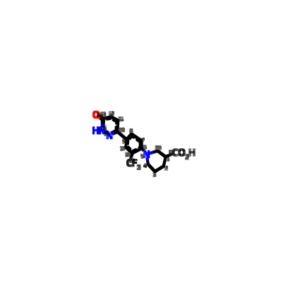 O=C(O)C1CCCN(c2ccc(-c3ccc(=O)[nH]n3)cc2C(F)(F)F)C1